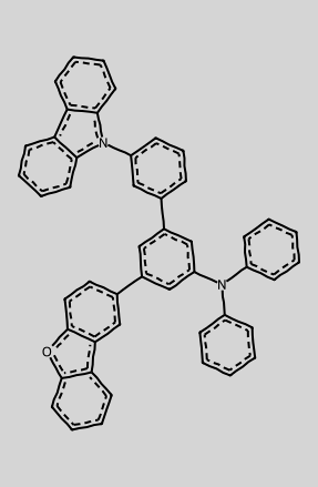 c1ccc(N(c2ccccc2)c2cc(-c3cccc(-n4c5ccccc5c5ccccc54)c3)cc(-c3ccc4oc5ccccc5c4c3)c2)cc1